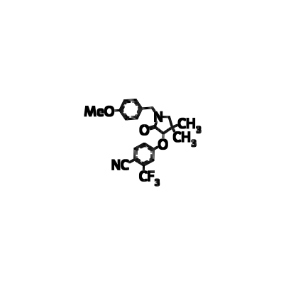 COc1ccc(CN2CC(C)(C)C(Oc3ccc(C#N)c(C(F)(F)F)c3)C2=O)cc1